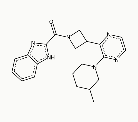 CC1CCCN(c2nccnc2C2CN(C(=O)c3nc4ccccc4[nH]3)C2)C1